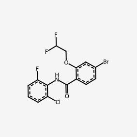 O=C(Nc1c(F)cccc1Cl)c1ccc(Br)cc1OCC(F)F